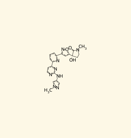 CN1CC[C@@](O)(c2cc(-c3cccc(-c4ccnc(Nc5cnn(C)c5)n4)n3)no2)C1=O